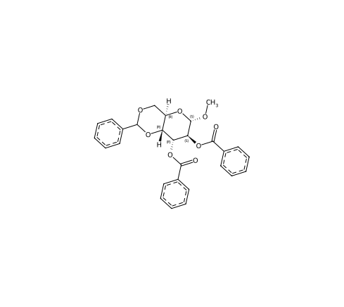 CO[C@H]1O[C@@H]2COC(c3ccccc3)O[C@H]2[C@@H](OC(=O)c2ccccc2)[C@@H]1OC(=O)c1ccccc1